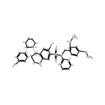 COc1ccc(CN(c2ncccn2)S(=O)(=O)c2cc3c(cc2F)[C@@H](N2CCCC[C@H]2c2ccc(F)cc2)CCO3)c(OC)c1